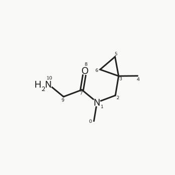 CN(CC1(C)CC1)C(=O)CN